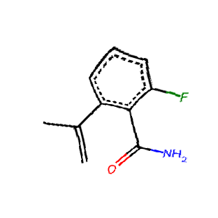 C=C(C)c1cccc(F)c1C(N)=O